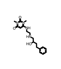 Cn1c(NCCNCC(O)CCc2ccccc2)cc(=O)n(C)c1=O